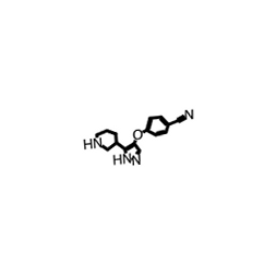 N#Cc1ccc(Oc2cn[nH]c2C2CCCNC2)cc1